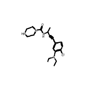 CCN(CC)c1cc(C#CC(C)NC(=O)N2CCNCC2)ccc1Cl